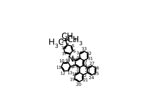 CC(C)(C)c1ccc(-n2c3ccccc3c3c4c5ccccc5c5ccccc5c4c4ccccc4c32)cc1